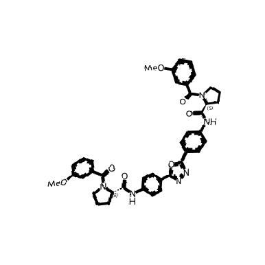 COc1cccc(C(=O)N2CCC[C@H]2C(=O)Nc2ccc(-c3nnc(-c4ccc(NC(=O)[C@@H]5CCCN5C(=O)c5cccc(OC)c5)cc4)o3)cc2)c1